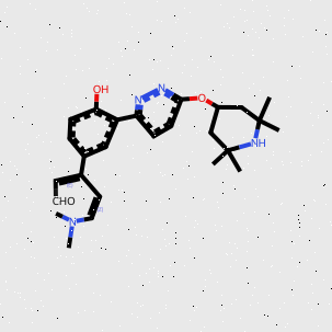 CN(C)/C=C\C(=C/C=O)c1ccc(O)c(-c2ccc(OC3CC(C)(C)NC(C)(C)C3)nn2)c1